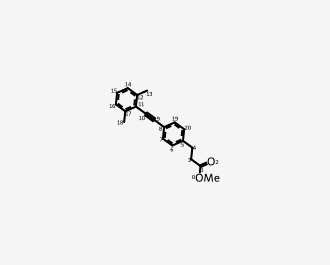 COC(=O)CCc1ccc(C#Cc2c(C)cccc2C)cc1